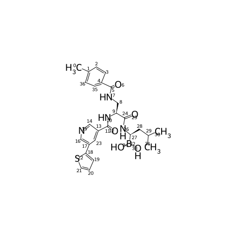 Cc1ccc(C(=O)NC[C@H](NC(=O)c2cncc(-c3cccs3)c2)C(=O)N[C@@H](CC(C)C)B(O)O)cc1